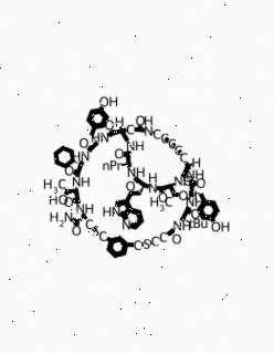 CCC[C@@H]1NC(=O)[C@H](CCc2c[nH]c3ncccc23)NC(=O)[C@H]([C@@H](C)O)NC(=O)[C@@H]2CCCCCNC(=O)C[C@H](NC1=O)C(=O)N[C@@H](Cc1ccc(O)cc1)C(=O)N[C@@H](C1CCCCC1)C(=O)N[C@@H]([C@@H](C)O)C(=O)N[C@H](C(N)=O)CSCc1cccc(c1)CSCCC(=O)N[C@@H](C(C)(C)C)C(=O)N[C@@H](Cc1ccc(O)cc1)C(=O)N2